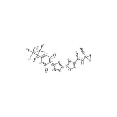 N#CC1(NC(=O)c2csc(-c3cnn(-c4c(Cl)cc(C(F)(C(F)(F)F)C(F)(F)F)cc4Cl)c3)n2)CC1